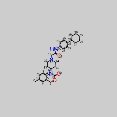 Cc1ccc2c(c1)COC(=O)N2C1CCN(CC(=O)Nc2ccc(C3CCCCC3)cc2)CC1